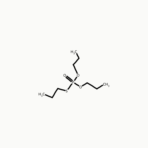 CCCOP(=O)(OCCC)SCCC